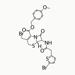 COc1ccc(COC(=O)C2=C(CBr)CS[C@H]3C(NC(=O)Cc4ccc(Br)s4)C(=O)N23)cc1